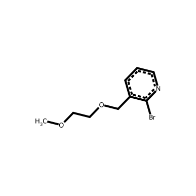 COCCOCc1cccnc1Br